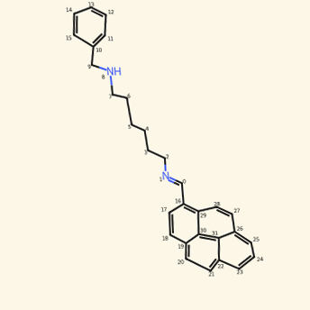 C(=NCCCCCCNCc1ccccc1)c1ccc2ccc3cccc4ccc1c2c34